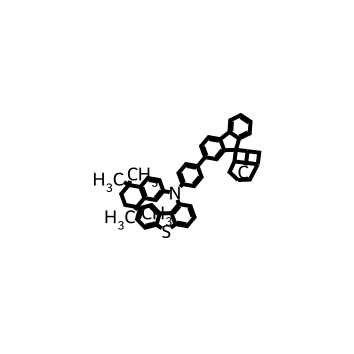 CC1(C)CCC(C)(C)c2cc(N(c3ccc(-c4ccc5c(c4)C4(c6ccccc6-5)C5CC6CC7CC4C75C6)cc3)c3cccc4sc5ccccc5c34)ccc21